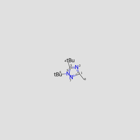 Cc1nc(C(C)(C)C)n(C(C)(C)C)n1